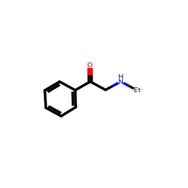 C[CH]NCC(=O)c1ccccc1